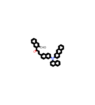 O=Cc1cc2ccccc2cc1C(=O)C=Cc1ccc2cc(N(c3ccc4cc5ccccc5cc4c3)c3cccc4ccccc34)ccc2c1